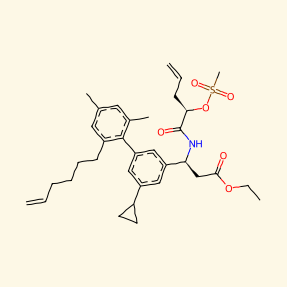 C=CCCCCc1cc(C)cc(C)c1-c1cc(C2CC2)cc([C@H](CC(=O)OCC)NC(=O)[C@@H](CC=C)OS(C)(=O)=O)c1